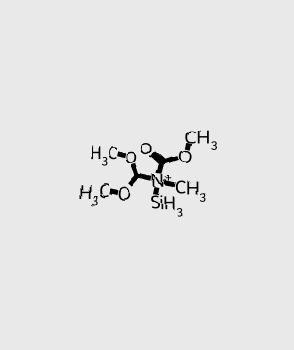 COC(=O)[N+](C)([SiH3])C(OC)OC